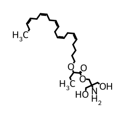 CC/C=C\C/C=C\C/C=C\C/C=C\C/C=C\CCCCOC(CC)C(=O)OCC(N)(CO)CO